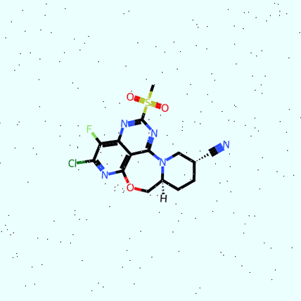 CS(=O)(=O)c1nc2c3c(nc(Cl)c(F)c3n1)OC[C@@H]1CC[C@@H](C#N)CN21